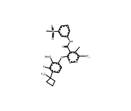 COc1c(Oc2nnc(C(F)(F)F)c(C)c2C(=O)Nc2cccc(S(C)(=O)=O)c2)ccc(C2(C(F)(F)F)CCC2)c1F